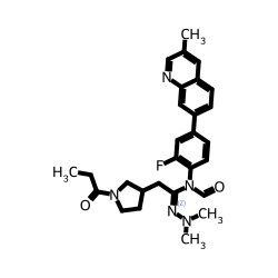 CCC(=O)N1CCC(C/C(=N/N(C)C)N(C=O)c2ccc(-c3ccc4cc(C)cnc4c3)cc2F)C1